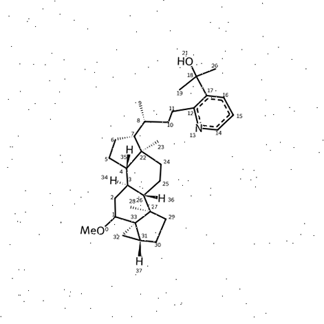 COC1C[C@H]2[C@@H]3CC[C@H]([C@H](C)CCc4ncccc4C(C)(C)O)[C@@]3(C)CC[C@@H]2[C@@]2(C)CC[C@@H]3C[C@@]132